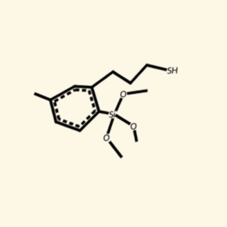 CO[Si](OC)(OC)c1ccc(C)cc1CCCS